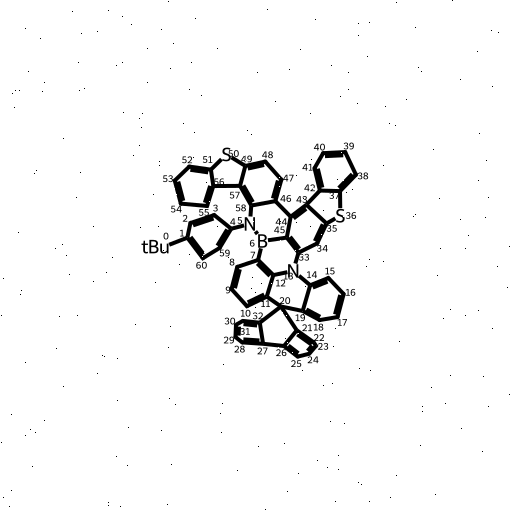 CC(C)(C)c1ccc(N2B3c4cccc5c4N(c4ccccc4C54c5ccccc5-c5ccccc54)c4cc5sc6ccccc6c5c(c43)-c3ccc4sc5ccccc5c4c32)cc1